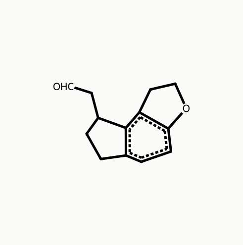 O=CCC1CCc2ccc3c(c21)CCO3